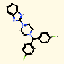 Fc1ccc(C(c2ccc(F)cc2)N2CCN(c3nc4ccccc4[nH]3)CC2)cc1